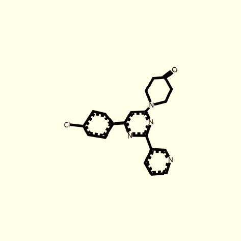 O=C1CCN(c2cc(-c3ccc(Cl)cc3)nc(-c3cccnc3)n2)CC1